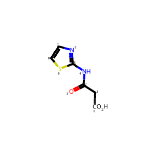 O=C(O)CC(=O)Nc1nccs1